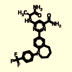 C[C@H](Nc1cc(C(N)=O)nc(-c2ccc3c(c2)CCCCN3c2ccc(C(F)(F)F)cc2)n1)C(N)=O